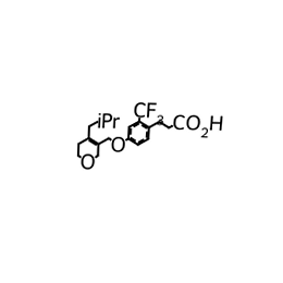 CC(C)CC1=C(COc2ccc(CCC(=O)O)c(C(F)(F)F)c2)COCC1